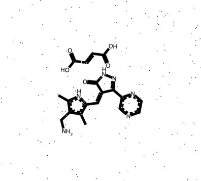 Cc1[nH]c(C=C2C(=O)NN=C2c2cnccn2)c(C)c1CN.O=C(O)C=CC(=O)O